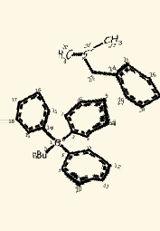 CCCC[B-](c1ccccc1)(c1ccccc1)c1ccccc1.C[S+](C)Cc1ccccc1